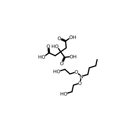 CCCCN(OCCO)OCCO.O=C(O)CC(O)(CC(=O)O)C(=O)O